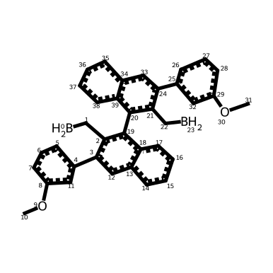 BCc1c(-c2cccc(OC)c2)cc2ccccc2c1-c1c(CB)c(-c2cccc(OC)c2)cc2ccccc12